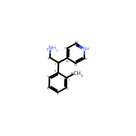 Cc1ccccc1[C](CN)c1ccncc1